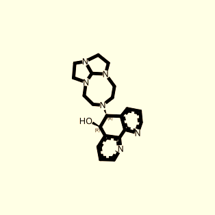 O[C@@H]1c2cccnc2-c2ncccc2[C@H]1N1CCN2CCN3CCN(CC1)C32